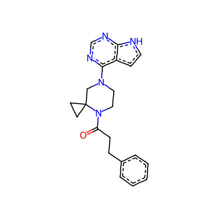 O=C(CCc1ccccc1)N1CCN(c2ncnc3[nH]ccc23)CC12CC2